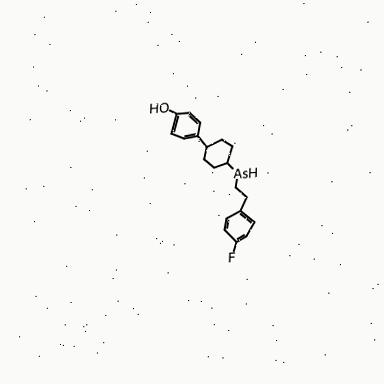 Oc1ccc(C2CCC([AsH]CCc3ccc(F)cc3)CC2)cc1